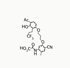 CC(=O)c1ccc(OCCCOc2cc(NC(=O)C(=O)O)c(C)cc2C#N)c(CCC(F)(F)F)c1O